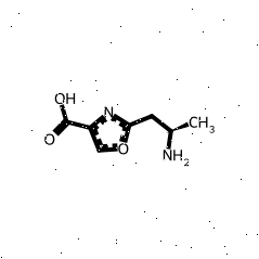 C[C@@H](N)Cc1nc(C(=O)O)co1